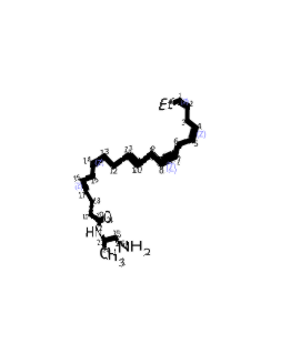 CC/C=C\C/C=C\C/C=C\CC=CC/C=C\C/C=C\CCC(=O)NC(C)CN